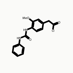 COc1cc(CC(=O)Cl)ccc1NC(=O)Nc1ccccc1